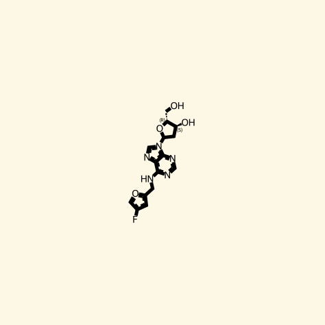 OC[C@H]1OC(n2cnc3c(NCc4cc(F)co4)ncnc32)C[C@@H]1O